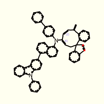 C=C1/C=C\C(N(c2ccc(-c3ccccc3)cc2)c2cccc3c(-c4ccc5c(c4)c4ccccc4n5-c4ccccc4)cccc23)=C/CC2(c3ccccc31)c1ccccc1-c1ccccc12